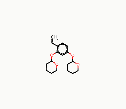 C=Cc1ccc(OC2CCCCO2)cc1OC1CCCCO1